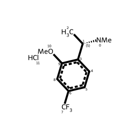 CN[C@@H](C)c1ccc(C(F)(F)F)cc1OC.Cl